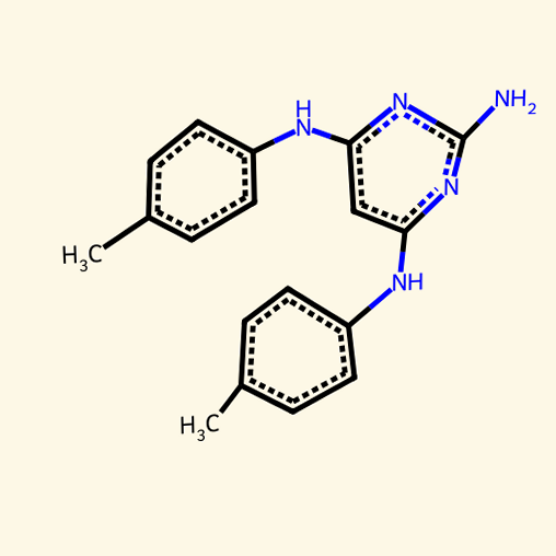 Cc1ccc(Nc2cc(Nc3ccc(C)cc3)nc(N)n2)cc1